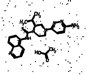 CC(=O)O.CC(C)C1CN(c2ccc(N)nn2)CCN1C(=S)Nc1cccc2ncccc12